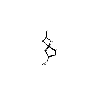 CC1CC2(CCC(S)C2)C1